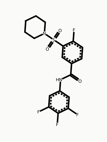 O=C(Nc1cc(F)c(F)c(F)c1)c1ccc(F)c(S(=O)(=O)N2CC[CH]CC2)c1